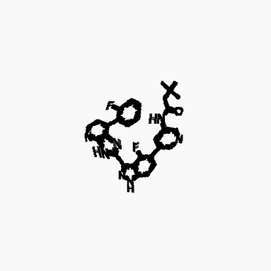 CC(C)(C)CC(=O)Nc1cncc(-c2ccc3[nH]nc(-c4nc5c(-c6ccccc6F)ccnc5[nH]4)c3c2F)c1